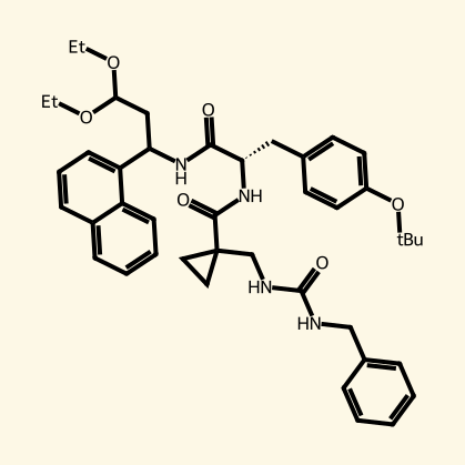 CCOC(CC(NC(=O)[C@H](Cc1ccc(OC(C)(C)C)cc1)NC(=O)C1(CNC(=O)NCc2ccccc2)CC1)c1cccc2ccccc12)OCC